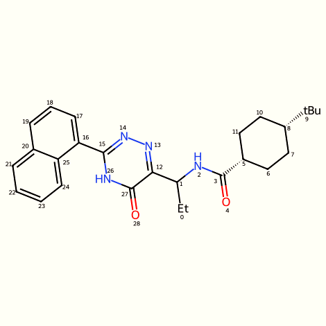 CCC(NC(=O)[C@H]1CC[C@@H](C(C)(C)C)CC1)c1nnc(-c2cccc3ccccc23)[nH]c1=O